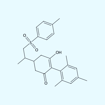 Cc1ccc(S(=O)(=O)CC(C)C2CC(=O)C(c3c(C)cc(C)cc3C)=C(O)C2)cc1